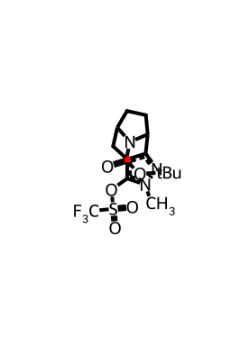 Cn1nc2c(c1OS(=O)(=O)C(F)(F)F)CC1CCC2N1C(=O)OC(C)(C)C